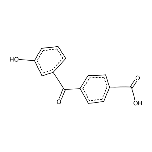 O=C(O)c1ccc(C(=O)c2cccc(O)c2)cc1